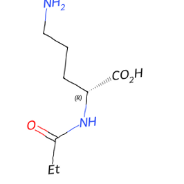 CCC(=O)N[C@H](CCCN)C(=O)O